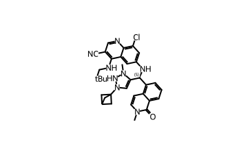 CN1NN(C23CC(C2)C3)C=C1[C@@H](Nc1cc(Cl)c2ncc(C#N)c(NCC(C)(C)C)c2c1)c1cccc2c(=O)n(C)ccc12